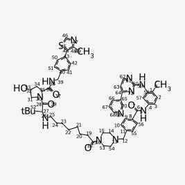 Cc1ccc(NC(=O)c2ccc(CN3CCN(C(=O)CCCCCCCNC(C(=O)N4C[C@H](O)C[C@H]4C(=O)NCc4ccc(-c5scnc5C)cc4)C(C)(C)C)CC3)cc2)cc1Nc1nccc(-c2cccnc2)n1